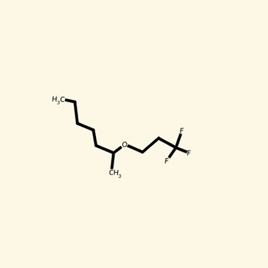 CCCCCC(C)OC[CH]C(F)(F)F